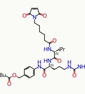 CC(C)[C@H](NC(=O)CCCCCN1C(=O)C=CC1=O)C(=O)N[C@@H](CCCNC(N)=O)C(=O)Nc1ccc(COC(=O)C(C)(C)C)cc1